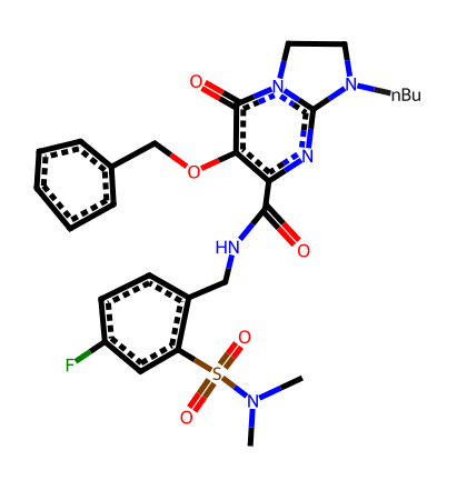 CCCCN1CCn2c1nc(C(=O)NCc1ccc(F)cc1S(=O)(=O)N(C)C)c(OCc1ccccc1)c2=O